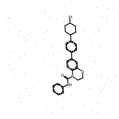 CCC1CCC(c2ccc(-c3ccc4c(c3)OCCN4C(=O)Nc3ccccc3)cc2)CC1